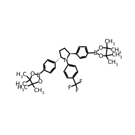 CC1(C)OB(c2ccc([C@@H]3CC[C@@H](c4ccc(B5OC(C)(C)C(C)(C)O5)cc4)N3c3ccc(C(F)(F)F)cc3)cc2)OC1(C)C